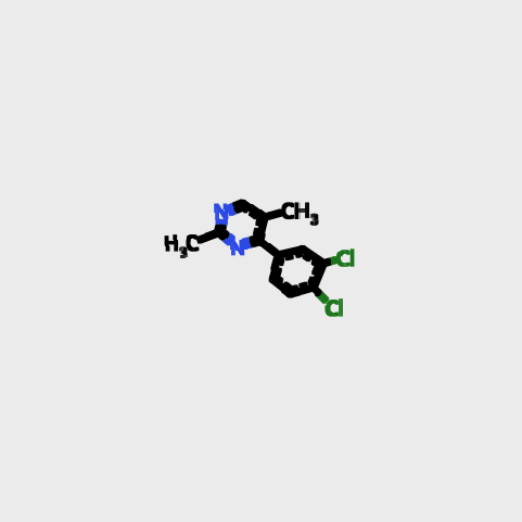 Cc1ncc(C)c(-c2ccc(Cl)c(Cl)c2)n1